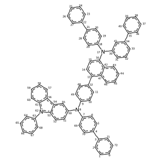 c1ccc(-c2ccc(N(c3ccc(-c4ccc(N(c5ccc(-c6ccccc6)cc5)c5cccc(-c6ccccc6)c5)c5ccccc45)cc3)c3ccc4c(c3)c3ccccc3n4-c3ccccc3)cc2)cc1